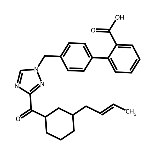 CC=CCC1CCCC(C(=O)c2ncn(Cc3ccc(-c4ccccc4C(=O)O)cc3)n2)C1